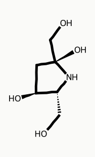 OC[C@H]1N[C@@](O)(CO)C[C@@H]1O